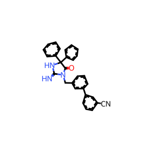 N#Cc1cccc(-c2cccc(CN3C(=N)NC(c4ccccc4)(c4ccccc4)C3=O)c2)c1